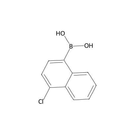 OB(O)c1ccc(Cl)c2ccccc12